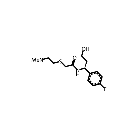 CNCCSCC(=O)N[C@@H](CCO)c1ccc(F)cc1